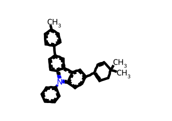 Cc1ccc(-c2ccc3c(c2)c2cc(C4=CCC(C)(C)C=C4)ccc2n3-c2ccccc2)cc1